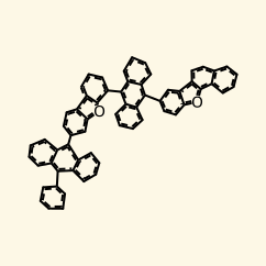 c1ccc(-c2c3ccccc3c(-c3ccc4c(c3)oc3c(-c5c6ccccc6c(-c6ccc7oc8c9ccccc9ccc8c7c6)c6ccccc56)cccc34)c3ccccc23)cc1